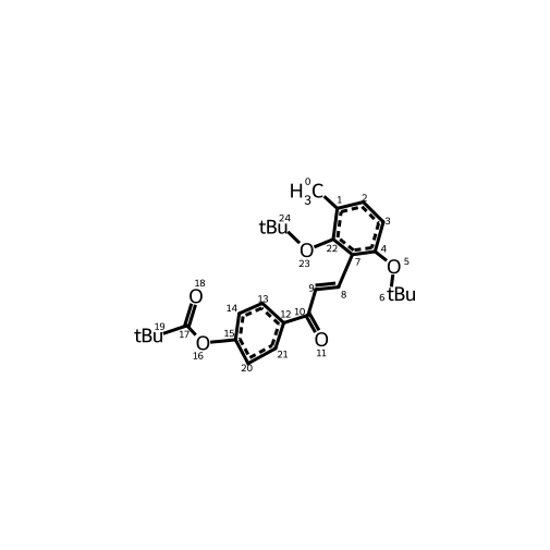 Cc1ccc(OC(C)(C)C)c(C=CC(=O)c2ccc(OC(=O)C(C)(C)C)cc2)c1OC(C)(C)C